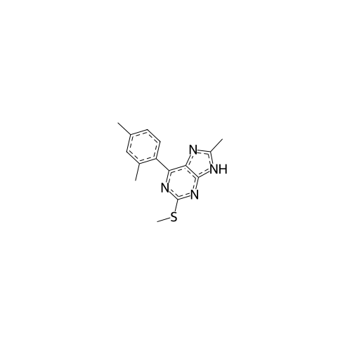 CSc1nc(-c2ccc(C)cc2C)c2nc(C)[nH]c2n1